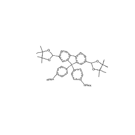 CCCCCCc1ccc(C2(c3ccc(CCCCCC)cc3)c3cc(C4OC(C)(C)C(C)(C)O4)ccc3-c3ccc(C4OC(C)(C)C(C)(C)O4)cc32)cc1